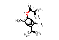 C=C(C)C(=C)OC1C(C)C2CC1C(C)C2C(=C)C